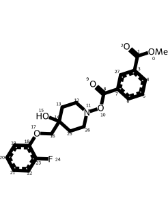 COC(=O)c1cccc(C(=O)ON2CCC(O)(COc3ccccc3F)CC2)c1